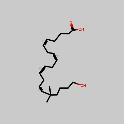 CC(C)(/C=C\C/C=C\C/C=C\C/C=C\CCCC(=O)O)CCCCO